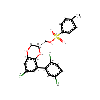 Cc1ccc(S(=O)(=O)OC[C@H]2COc3cc(Cl)cc(-c4cc(Cl)ccc4Cl)c3O2)cc1